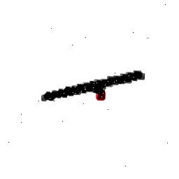 CCCCCCCCCCCCCCCCC(CC=O)CCCCCCCCCCCCCC